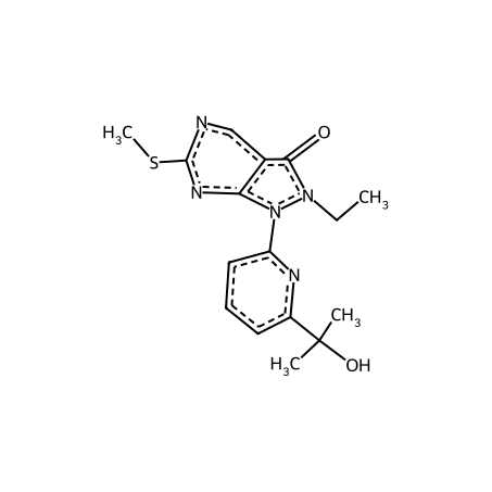 CCn1c(=O)c2cnc(SC)nc2n1-c1cccc(C(C)(C)O)n1